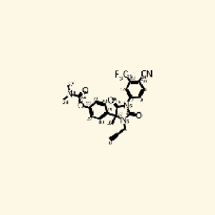 C#CCN1C(=O)N(c2ccc(C#N)c(C(F)(F)F)c2)C(=O)C1(C)c1ccc(OC(=O)N(C)C)cc1